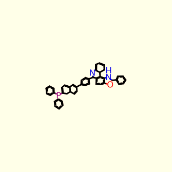 C1=CCC2C(=C1)N=C(c1ccc(C3=CC4=CC=C(P(c5ccccc5)c5ccccc5)CC4C=C3)cc1)c1ccc3c(c12)NC(c1ccccc1)O3